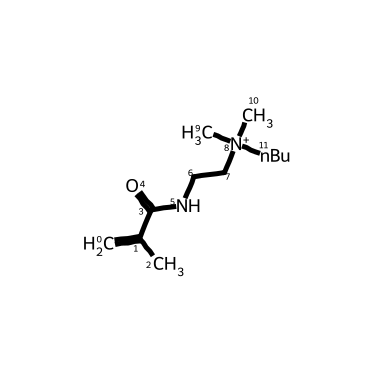 C=C(C)C(=O)NCC[N+](C)(C)CCCC